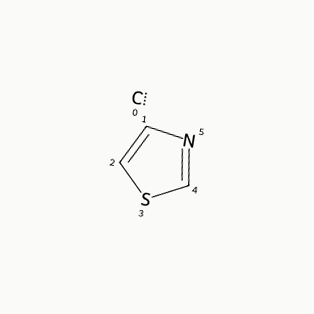 [C].c1cscn1